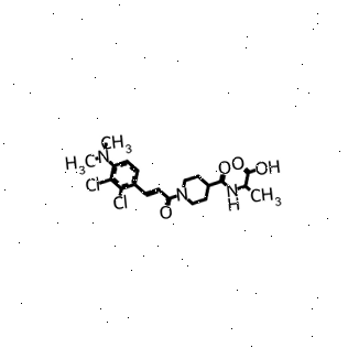 CC(NC(=O)C1CCN(C(=O)C=Cc2ccc(N(C)C)c(Cl)c2Cl)CC1)C(=O)O